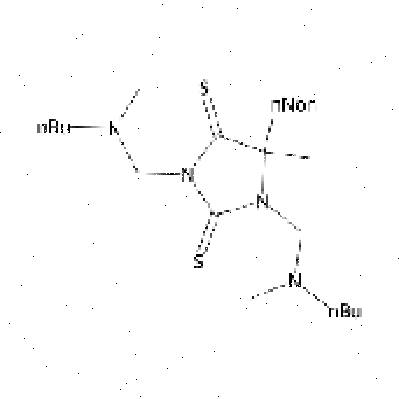 CCCCCCCCCC1(C)C(=S)N(CN(C)CCCC)C(=S)N1CN(C)CCCC